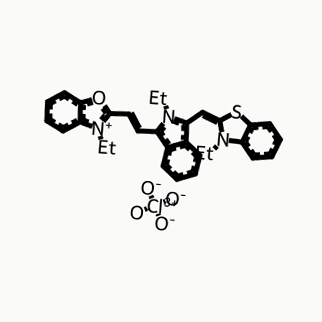 CCN1C(=Cc2c3ccccc3c(C=Cc3oc4ccccc4[n+]3CC)n2CC)Sc2ccccc21.[O-][Cl+3]([O-])([O-])[O-]